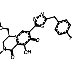 CC(C)N1C[C@@H](COI)n2cc(-c3nnc(Cc4ccc(F)cc4)s3)c(=O)c(O)c2C1=O